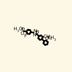 COC(=O)c1ccc(-c2noc(-c3ccc(-c4ccccc4OC)c(C)c3)n2)cc1F